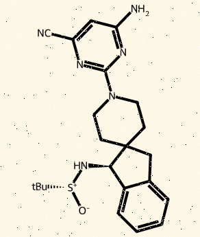 CC(C)(C)[S@@+]([O-])N[C@@H]1c2ccccc2CC12CCN(c1nc(N)cc(C#N)n1)CC2